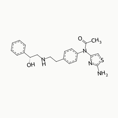 CC(=O)N(c1ccc(CCNC[C@H](O)c2ccccc2)cc1)c1csc(N)n1